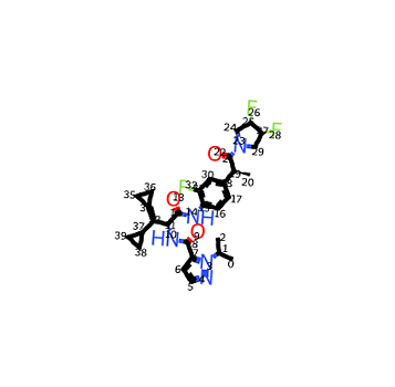 CC(C)n1nccc1C(=O)N[C@H](C(=O)Nc1ccc([C@H](C)C(=O)N2C[C@H](F)[C@@H](F)C2)cc1F)C(=C1CC1)C1CC1